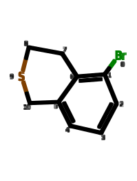 Brc1cccc2c1CCSC2